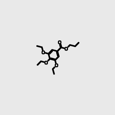 CCCOC(=O)c1cc(OCC)c(OCC)c(OCC)c1